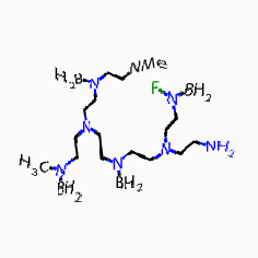 BN(C)CCN(CCN(B)CCNC)CCN(B)CCN(CCN)CCN(B)F